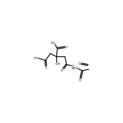 C=O.CC(=O)O.O=C(O)CC(O)(CC(=O)O)C(=O)O